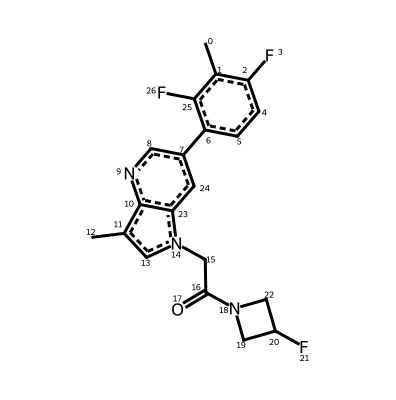 Cc1c(F)ccc(-c2cnc3c(C)cn(CC(=O)N4CC(F)C4)c3c2)c1F